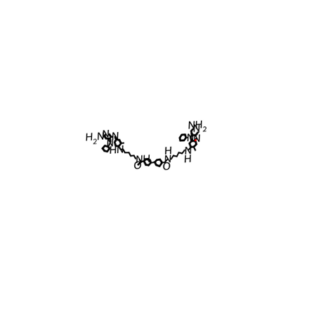 Cc1cc2nc3cnc(N)cc3[n+](-c3ccccc3)c2cc1NCCCCCCNC(=O)c1ccc(-c2ccc(C(=O)NCCCCCCNc3cc4c(cc3C)nc3cnc(N)cc3[n+]4-c3ccccc3)cc2)cc1